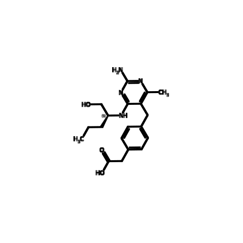 CCC[C@@H](CO)Nc1nc(N)nc(C)c1Cc1ccc(CC(=O)O)cc1